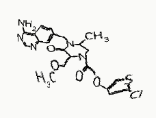 COCC1C(=O)N(Cc2ccc3c(N)ncnc3c2)C(C)CN1C(=O)COc1csc(Cl)c1